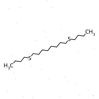 CCCCSCCCCCCCCSCCCC